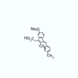 COc1ccc2c(c1)C(CC(=O)O)=C(C)/C2=C\c1ccc(C)cc1